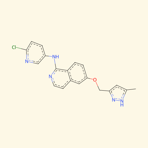 Cc1cc(COc2ccc3c(Nc4ccc(Cl)nc4)nccc3c2)n[nH]1